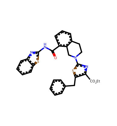 CCOC(=O)c1nc(N2CCc3cccc(C(=O)Nc4nc5ccccc5s4)c3C2)sc1Cc1ccccc1